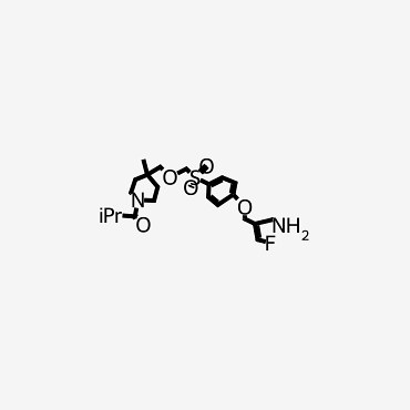 CC(C)C(=O)N1CCC(C)(COCS(=O)(=O)c2ccc(OCC(=CF)CN)cc2)CC1